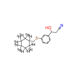 [2H]C1([2H])C([2H])([2H])C([2H])([2H])C([2H])(CSc2cccc(C(O)CC#N)c2)C([2H])([2H])C1([2H])[2H]